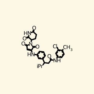 Cc1ccc(NC(=O)CC(c2cccc(NC3=CC(=O)N(C4CCC(=O)NC4=O)C3=O)c2)C(C)C)cc1Cl